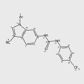 CC(=O)n1cc(C#N)c2ccc(NC(=O)Nc3ccc(C(F)(F)F)cc3)cc21